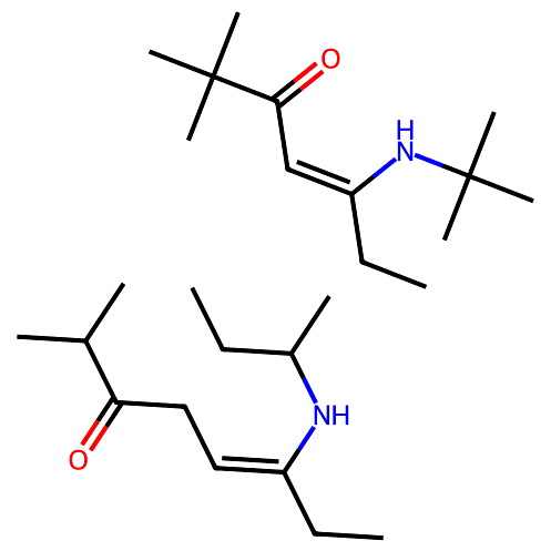 CCC(=CC(=O)C(C)(C)C)NC(C)(C)C.CCC(=CCC(=O)C(C)C)NC(C)CC